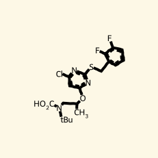 CC(CN(C(=O)O)C(C)(C)C)Oc1cc(Cl)nc(SCc2cccc(F)c2F)n1